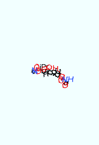 CC(C)[C@@H](OC(=O)N1CCC1)C1C[C@@H](C)[C@H]2C(O1)[C@H](O)[C@@]1(C)C3CC[C@H]4C(C)(C)[C@@H](OC(=O)N[C@H]5CCOC5)CCC45C[C@@]35CC[C@]21C